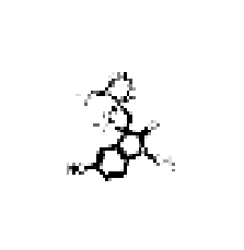 CN1C(=O)C(C)(CS(=O)(=O)N(C)C)c2cc(C#N)ccc21